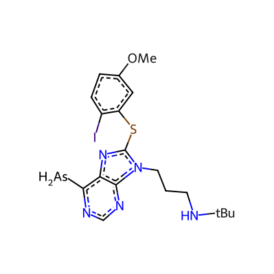 COc1ccc(I)c(Sc2nc3c([AsH2])ncnc3n2CCCNC(C)(C)C)c1